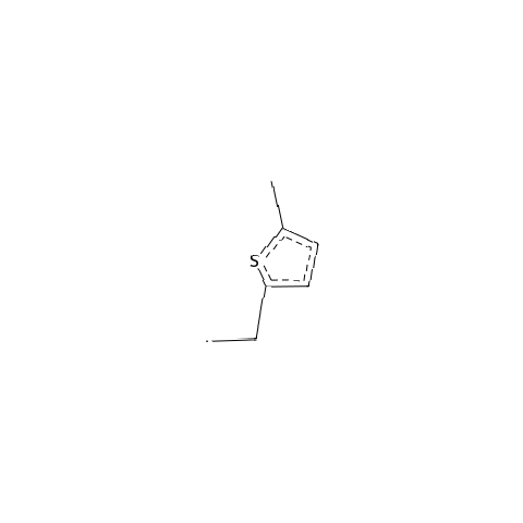 [CH2]Cc1ccc(C)s1